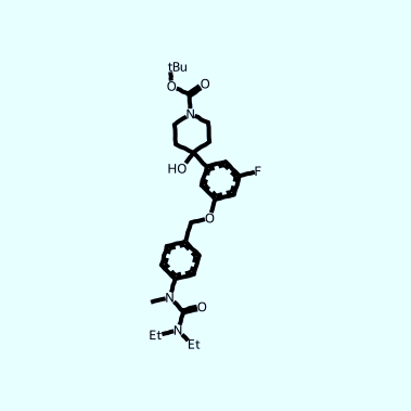 CCN(CC)C(=O)N(C)c1ccc(COc2cc(F)cc(C3(O)CCN(C(=O)OC(C)(C)C)CC3)c2)cc1